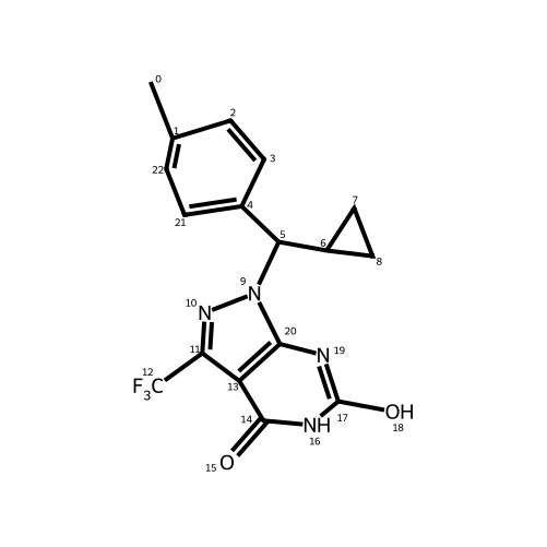 Cc1ccc(C(C2CC2)n2nc(C(F)(F)F)c3c(=O)[nH]c(O)nc32)cc1